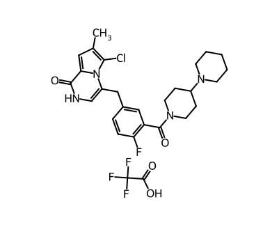 Cc1cc2c(=O)[nH]cc(Cc3ccc(F)c(C(=O)N4CCC(N5CCCCC5)CC4)c3)n2c1Cl.O=C(O)C(F)(F)F